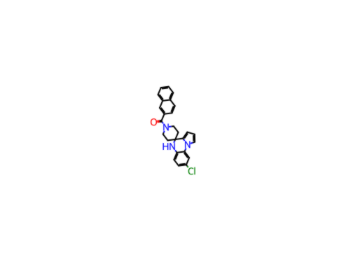 O=C(c1ccc2ccccc2c1)N1CCC2(CC1)Nc1ccc(Cl)cc1-n1cccc12